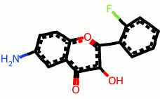 Nc1ccc2oc(-c3ccccc3F)c(O)c(=O)c2c1